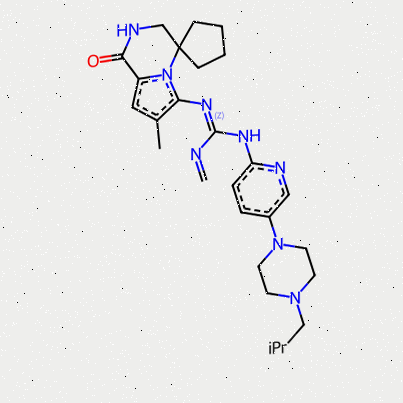 C=N/C(=N\c1c(C)cc2n1C1(CCCC1)CNC2=O)Nc1ccc(N2CCN(CC(C)C)CC2)cn1